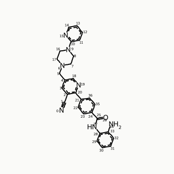 N#Cc1cc(CN2CCN(c3ccccn3)CC2)cnc1-c1ccc(C(=O)Nc2ccccc2N)cc1